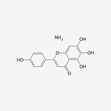 N.O=c1cc(-c2ccc(O)cc2)oc2cc(O)c(O)c(O)c12